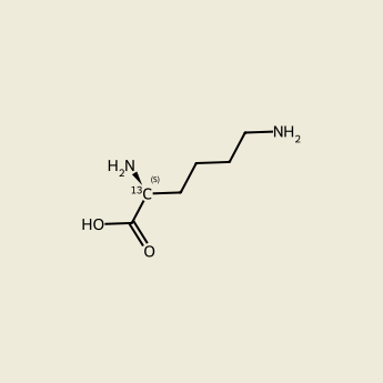 NCCCC[13C@H](N)C(=O)O